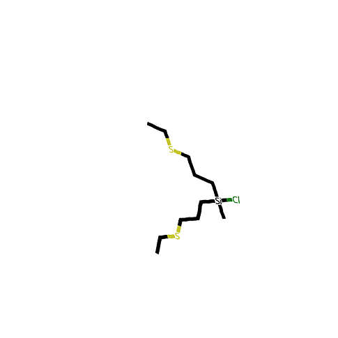 CCSCCC[Si](C)(Cl)CCCSCC